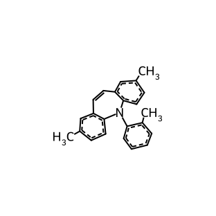 Cc1ccc2c(c1)C=Cc1cc(C)ccc1N2c1ccccc1C